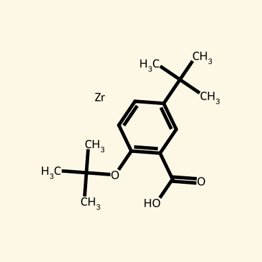 CC(C)(C)Oc1ccc(C(C)(C)C)cc1C(=O)O.[Zr]